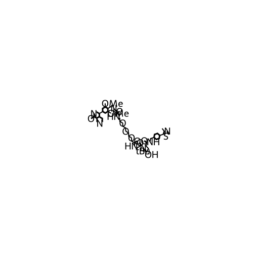 COc1cc(-c2cn(C)c(=O)c3cnccc23)cc(OC)c1CN(C)CC(=O)NCCOCCOCCOCC(=O)N[C@@H](C(=O)N1C[C@@H](O)CC1C(=O)NCc1ccc(-c2scnc2C)cc1)C(C)(C)C